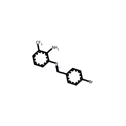 Nc1c(/N=C/c2ccc(Br)cc2)cccc1C(F)(F)F